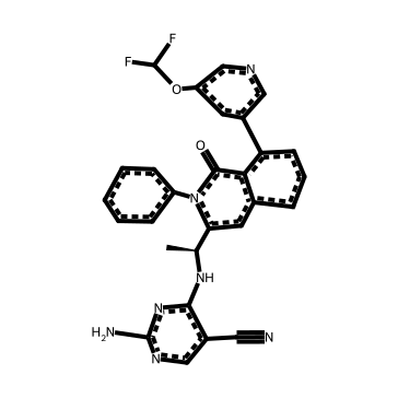 C[C@H](Nc1nc(N)ncc1C#N)c1cc2cccc(-c3cncc(OC(F)F)c3)c2c(=O)n1-c1ccccc1